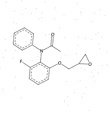 CC(=O)N(c1ccccc1)c1c(F)cccc1OCC1CO1